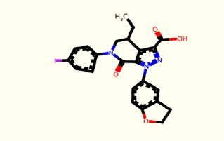 CCC1CN(c2ccc(I)cc2)C(=O)c2c1c(C(=O)O)nn2-c1ccc2c(c1)CCO2